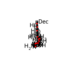 CCCCCCCCCCCCCC(O)CC(=O)SCCNC(=O)CCNC(=O)[C@H](O)C(C)(C)COP(=O)(O)OP(=O)(O)OC[C@H]1O[C@H](n2cnc3c(N)ncnc32)[C@H](O)[C@@H]1OP(=O)(O)O